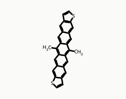 Cc1c2cc3cc4ccsc4cc3cc2c(C)c2cc3cc4ccsc4cc3cc12